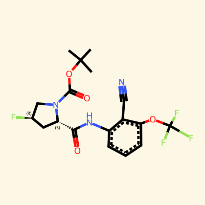 CC(C)(C)OC(=O)N1C[C@H](F)C[C@H]1C(=O)Nc1cccc(OC(F)(F)F)c1C#N